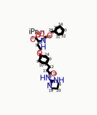 CC(C)OC(=O)[C@H](CCOc1ccc(CCC(=O)NC2=NCCCN2)cc1)NC(=O)OCc1ccccc1